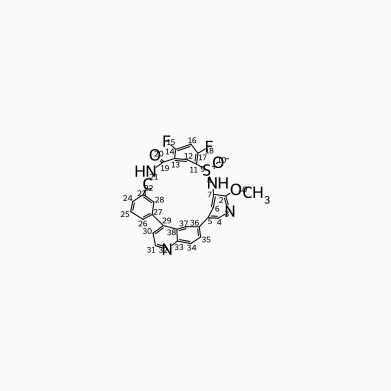 COc1ncc2cc1N[S+]([O-])c1cc(c(F)cc1F)C(=O)NCc1cccc(c1)-c1ccnc3ccc-2cc13